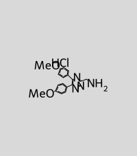 COc1ccc(-c2nnc(CN)nc2-c2ccc(OC)cc2)cc1.Cl